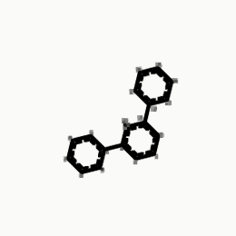 [c]1ccc(-c2ccccc2)nc1-c1ccccc1